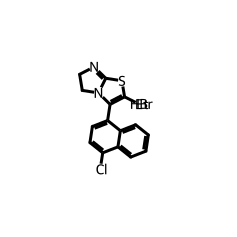 Br.CCC1=C(c2ccc(Cl)c3ccccc23)N2CCN=C2S1